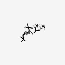 CC(C)(C)CCN(CC(O)CO)C(C)(C)C